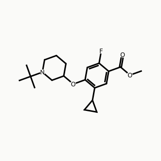 COC(=O)c1cc(C2CC2)c(OC2CCCN(C(C)(C)C)C2)cc1F